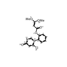 COC(=CC(=O)Oc1ccccc1-n1cnc(=O)cc1Cl)OC